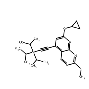 CSc1ncc2c(C#C[Si](C(C)C)(C(C)C)C(C)C)cc(OC3CC3)nc2n1